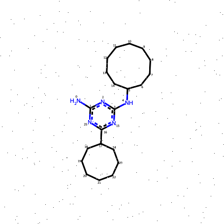 Nc1nc(NC2CCCCCCCCC2)nc(C2CCCCCCC2)n1